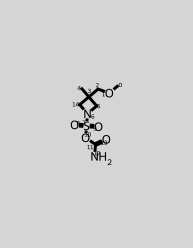 COCC1(C)CN(S(=O)(=O)OC(N)=O)C1